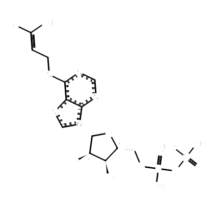 CC(C)=CCNc1ncnc2c1ncn2[C@@H]1O[C@H](COP(=O)(O)OP(=O)(O)O)[C@@H](O)[C@H]1O